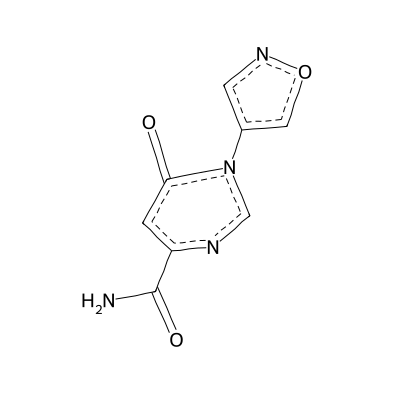 NC(=O)c1cc(=O)n(-c2cnoc2)cn1